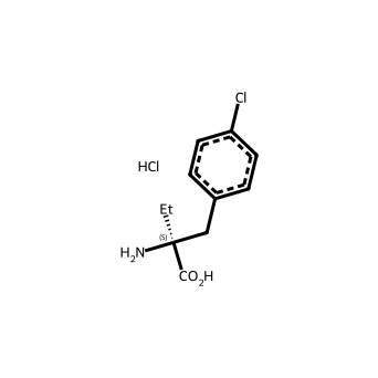 CC[C@](N)(Cc1ccc(Cl)cc1)C(=O)O.Cl